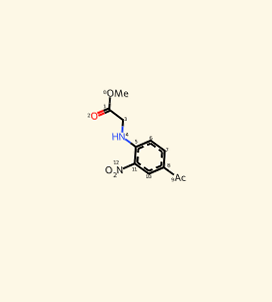 COC(=O)CNc1ccc(C(C)=O)cc1[N+](=O)[O-]